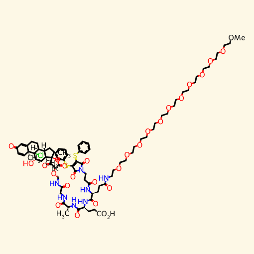 CCC(=O)O[C@]1(C(=O)COCNC(=O)CNC(=O)[C@H](C)NC(=O)[C@H](CCC(=O)O)NC(=O)[C@H](CCC(=O)NCCOCCOCCOCCOCCOCCOCCOCCOCCOCCOCCOCCOC)NC(=O)CCN2C(=O)C(Sc3ccccc3)=C(Sc3ccccc3)C2=O)[C@@H](C)C[C@H]2[C@@H]3CCC4=CC(=O)C=C[C@]4(C)[C@@]3(Cl)[C@@H](O)C[C@@]21C